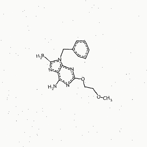 Bc1nc2c(N)nc(OCCOC)nc2n1Cc1ccccc1